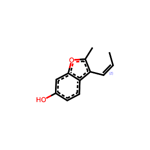 C/C=C\c1c(C)oc2cc(O)ccc12